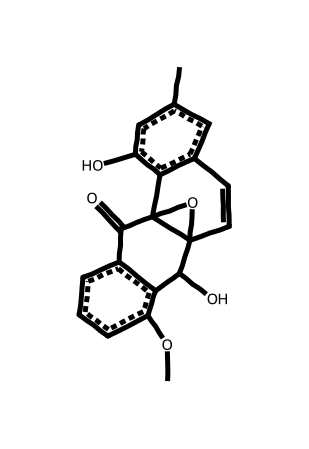 COc1cccc2c1C(O)C13C=Cc4cc(C)cc(O)c4C1(O3)C2=O